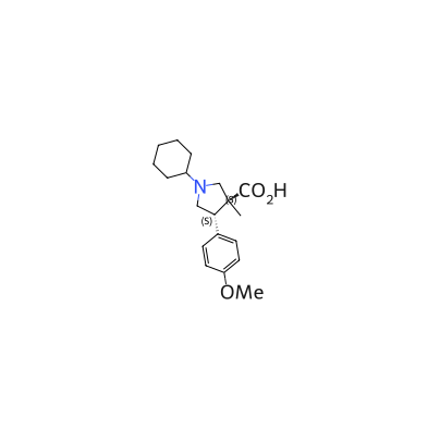 COc1ccc([C@@H]2CN(C3CCCCC3)C[C@@]2(C)C(=O)O)cc1